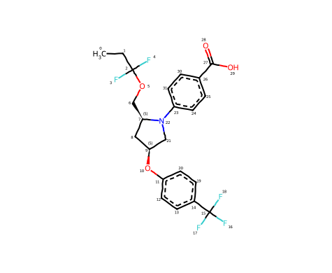 CCC(F)(F)OC[C@@H]1C[C@H](Oc2ccc(C(F)(F)F)cc2)CN1c1ccc(C(=O)O)cc1